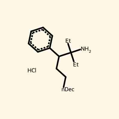 CCCCCCCCCCCCC(c1ccccc1)C(N)(CC)CC.Cl